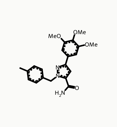 COc1cc(-c2cc(C(N)=O)n(Cc3ccc(C)cc3)n2)cc(OC)c1OC